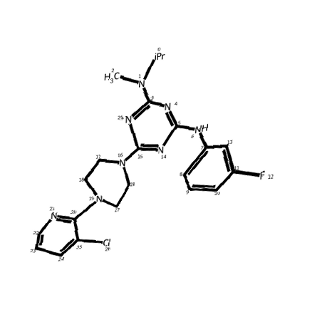 CC(C)N(C)c1nc(Nc2cccc(F)c2)nc(N2CCN(c3ncccc3Cl)CC2)n1